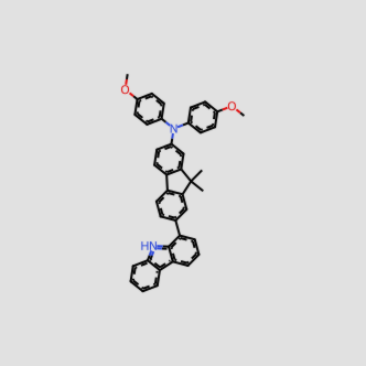 COc1ccc(N(c2ccc(OC)cc2)c2ccc3c(c2)C(C)(C)c2cc(-c4cccc5c4[nH]c4ccccc45)ccc2-3)cc1